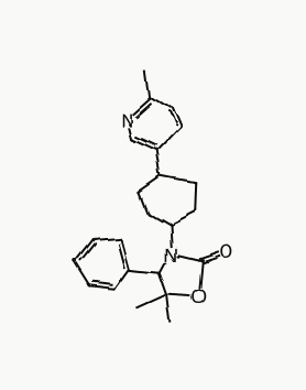 Cc1ccc(C2CCC(N3C(=O)OC(C)(C)C3c3ccccc3)CC2)cn1